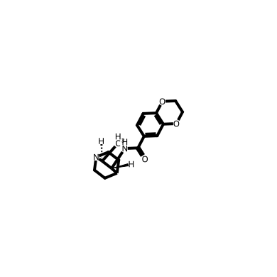 C[C@H]1[C@H](NC(=O)c2ccc3c(c2)OCCO3)C2CCN1CC2